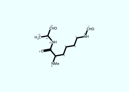 CNC(CCCCNC=O)C(=O)NC(C)C=O